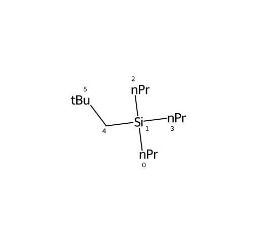 CCC[Si](CCC)(CCC)CC(C)(C)C